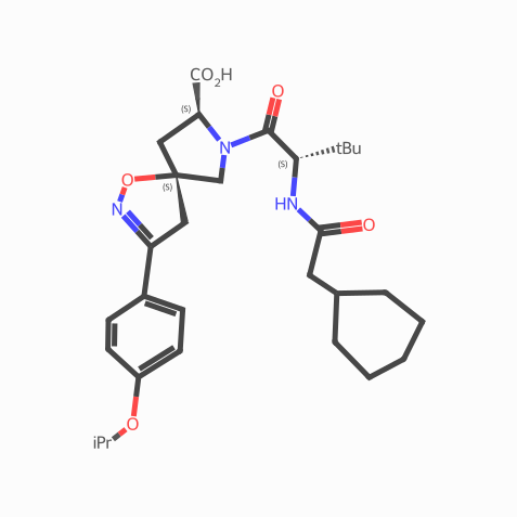 CC(C)Oc1ccc(C2=NO[C@]3(C2)C[C@@H](C(=O)O)N(C(=O)[C@@H](NC(=O)CC2CCCCC2)C(C)(C)C)C3)cc1